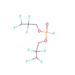 O=P(F)(OCC(F)(F)C(F)F)OCC(F)(F)C(F)F